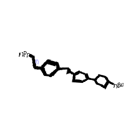 CCC/C=C/c1ccc(CCc2ccc(C3CCC(CCCC)CC3)cc2)cc1